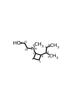 CCC(C)C1CCC1N(C)CCO